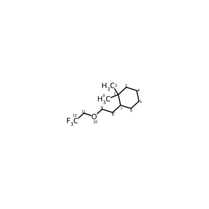 CC1(C)CCCCC1[CH]COCC(F)(F)F